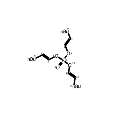 CCCCC=COP(=O)(OC=CCCCC)OC=CCCCC